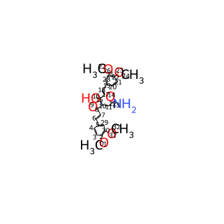 COc1ccc(/C=C/C(=O)/C(CC(N)=O)=C(O)/C=C/c2ccc(OC)c(OC)c2)cc1OC